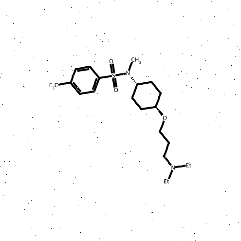 CCN(CC)CCCO[C@H]1CC[C@H](N(C)S(=O)(=O)c2ccc(C(F)(F)F)cc2)CC1